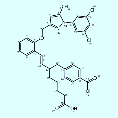 Cc1cc(COc2ccccc2/C=C/C(CCCCC(=O)O)Cc2ccc(C(=O)O)cc2)nn1-c1cc(Cl)cc(Cl)c1